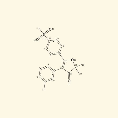 Cc1cccc(C2=C(c3ccc(S(C)(=O)=O)cc3)OC(C)(C)C2=O)c1